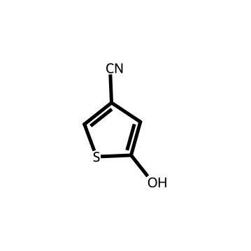 N#Cc1csc(O)c1